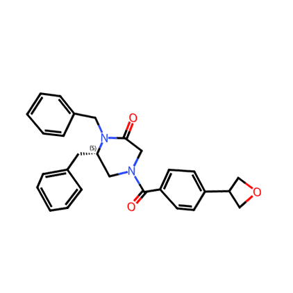 O=C(c1ccc(C2COC2)cc1)N1CC(=O)N(Cc2ccccc2)[C@@H](Cc2ccccc2)C1